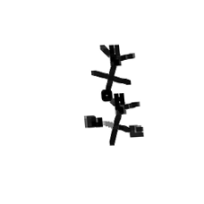 CC[C@@H](C)C(C)(CC)[SiH](C)OC(C)(C)[SiH](C)C